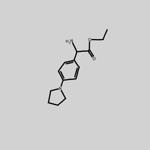 CCOC(=O)C(N)c1ccc(N2CCCC2)cc1